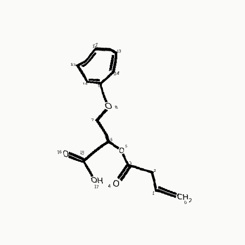 C=CCC(=O)OC(COc1ccccc1)C(=O)O